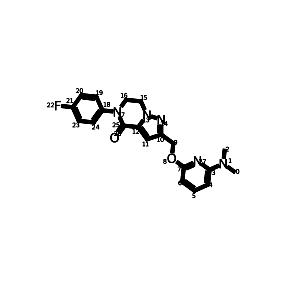 CN(C)c1cccc(OCc2cc3n(n2)CCN(c2ccc(F)cc2)C3=O)n1